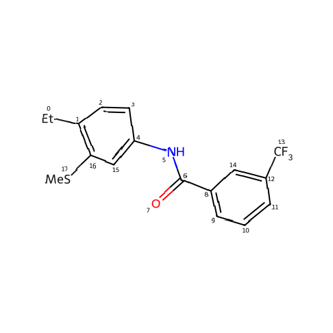 CCc1ccc(NC(=O)c2cccc(C(F)(F)F)c2)cc1SC